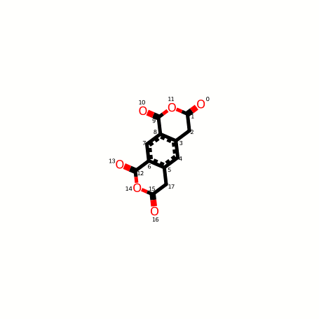 O=C1Cc2cc3c(cc2C(=O)O1)C(=O)OC(=O)C3